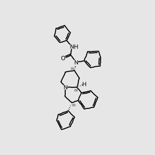 O=C(Nc1ccccc1)N(c1ccccc1)[C@H]1CCN2C[C@@H](c3ccccc3)c3ccccc3[C@@H]2C1